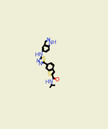 CC(C)NC(=O)c1cc2ccc(-c3nnc(Nc4ccc5[nH]ncc5c4)s3)cc2s1